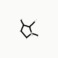 CC1CCN(C)C1I